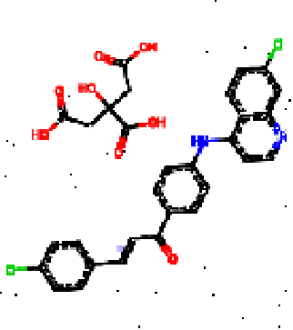 O=C(/C=C/c1ccc(Cl)cc1)c1ccc(Nc2ccnc3cc(Cl)ccc23)cc1.O=C(O)CC(O)(CC(=O)O)C(=O)O